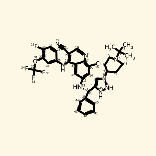 CC(C)(C)N1CCC(N2C=C([C@@H](Nc3cc(Cl)c4ncc(C#N)c(Nc5ccc(F)c(OC(F)(F)F)c5)c4c3)c3ccccc3)NN2)CC1